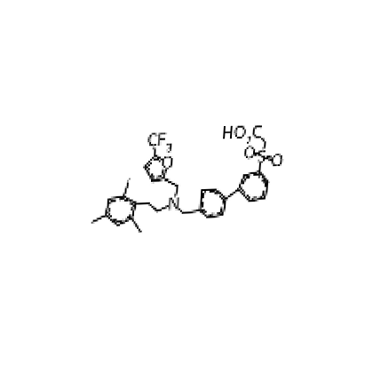 Cc1cc(C)c(CCN(Cc2ccc(-c3cccc(S(=O)(=O)CC(=O)O)c3)cc2)Cc2ccc(C(F)(F)F)o2)c(C)c1